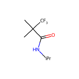 CC(C)NC(=O)C(C)(C)C(F)(F)F